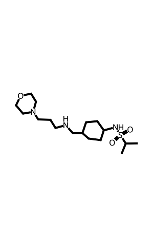 CC(C)S(=O)(=O)NC1CCC(CNCCCN2CCOCC2)CC1